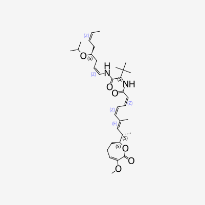 C/C=C\C[C@@H](C/C=C\NC(=O)[C@@H](NC(=O)\C=C/C=C\C(C)=C\[C@H](C)[C@@H]1CCC=C(OC)C(=O)O1)C(C)(C)C)OC(C)C